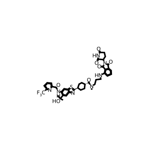 CN(CCCNc1cccc2c1C(=O)N(C1CCC(=O)NC1=O)C2=O)C(=O)[C@H]1CC[C@H](c2nc3cc(C(C)(C)O)c(NC(=O)c4cccc(C(F)(F)F)n4)cc3s2)CC1